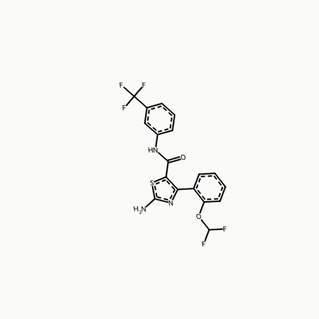 Nc1nc(-c2ccccc2OC(F)F)c(C(=O)Nc2cccc(C(F)(F)F)c2)s1